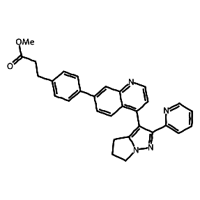 COC(=O)CCc1ccc(-c2ccc3c(-c4c(-c5ccccn5)nn5c4CCC5)ccnc3c2)cc1